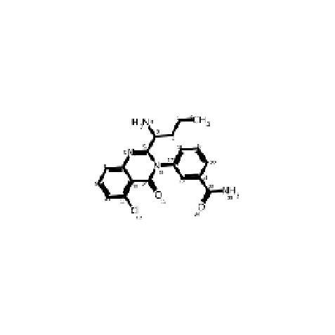 CCCC(N)c1nc2cccc(Cl)c2c(=O)n1-c1cccc(C(N)=O)c1